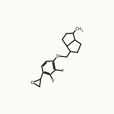 CC1CCC2C(COc3ccc(C4CO4)c(F)c3F)CCC12